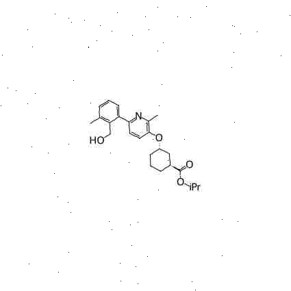 Cc1cccc(-c2ccc(O[C@H]3CCC[C@H](C(=O)OC(C)C)C3)c(C)n2)c1CO